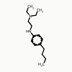 CCCCc1ccc(NCCN(CC)CC)cc1